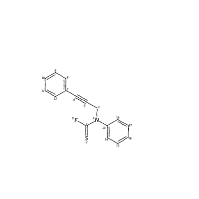 FC(=S)N(CC#Cc1ccccc1)c1ccccc1